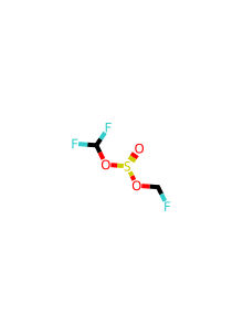 O=S(OCF)OC(F)F